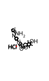 Cc1c(C)c2c(c(C)c1O)CCC(C)(C(=O)N1CCN(c3ccc(N=C(N)c4cccs4)cc3)CC1)O2.Cl.Cl